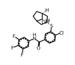 O=C(Nc1cc(F)c(F)c(F)c1)c1ccc(Cl)c(S[C@@H]2CC3CC[C@@H](C2)[C@H]3O)c1